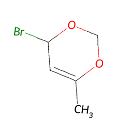 CC1=CC(Br)OCO1